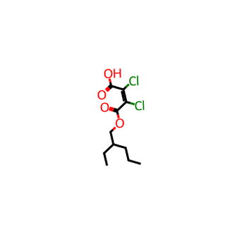 CCCC(CC)COC(=O)/C(Cl)=C(/Cl)C(=O)O